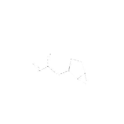 C=CC(=O)OC1CCC2OC12